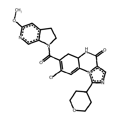 COc1cc2c(cn1)N(C(=O)C1=C(Cl)C=C3C(C1)NC(=O)c1cnc(C4CCOCC4)n13)CC2